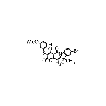 COc1cccc(Sc2c(O)c3c(=O)n4c(cc3oc2=O)C(C)(C)c2cc(Br)ccc2-4)c1